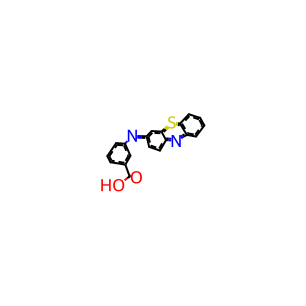 O=C(O)c1cccc(/N=c2\ccc3nc4ccccc4sc-3c2)c1